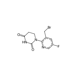 O=C1CCN(c2ncc(F)cc2CBr)C(=O)N1